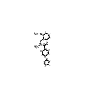 COc1ccccc1CN(C)C(=O)c1ccc(-c2ccco2)cc1